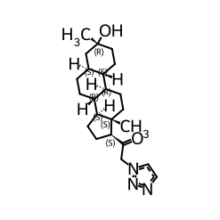 C[C@@]1(O)CC[C@H]2[C@@H](CC[C@@H]3[C@@H]2CC[C@]2(C)[C@@H](C(=O)Cn4ccnn4)CC[C@@H]32)C1